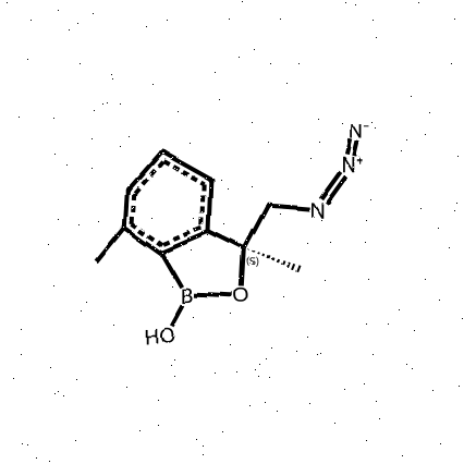 Cc1cccc2c1B(O)O[C@]2(C)CN=[N+]=[N-]